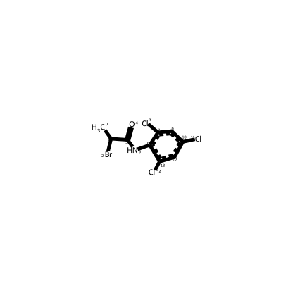 CC(Br)C(=O)Nc1c(Cl)cc(Cl)cc1Cl